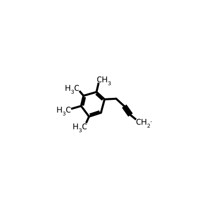 [CH2]C#CCc1cc(C)c(C)c(C)c1C